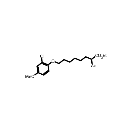 CCOC(=O)C(CCCCCCOc1ccc(OC)cc1Cl)C(C)=O